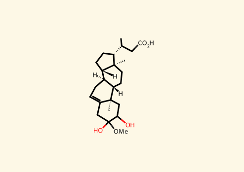 COC1(O)CC2=CC[C@H]3[C@@H]4CC[C@H](C(C)CC(=O)O)[C@@]4(C)CC[C@@H]3[C@@]2(C)CC1O